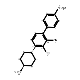 CCCCCCCc1ccc(-c2ccc([C@H]3CC[C@H](CCCCCC)CC3)c(C#N)c2C#N)cc1